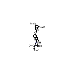 CC[C@](C)(O)C(/C=C1\NCc2cc3cc(OCc4cc5cc(OC)cc(OC)c5o4)ccc3nc21)=C(/C=O)COC=O